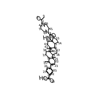 CC(=O)N1CCCN(C(=O)NC23CCCC2C2CCC4C5(C)CC=C(c6ccc(C(=O)O)cc6)C(C)C5CCC4(C)[C@]2(C)CC3)CC1